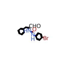 O=C[C@H](Cc1ccccc1)NC(=O)Nc1ccc(Br)cc1